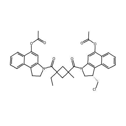 CCC1(C(=O)N2CCc3c2cc(OC(C)=O)c2ccccc32)CC(C)(C(=O)N2C[C@@H](CCl)c3c2cc(OC(C)=O)c2ccccc32)C1